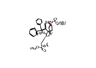 CC(C)(C)OC(=O)NCCn1ncc(CNC(=O)OC(C)(C)C)c1NC(c1ccccc1)(c1ccccc1)c1ccccc1